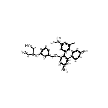 Cc1cc(-c2c(OCc3cccc(OC(CO)CO)n3)nc(N)nc2-c2ccc(F)cc2)cc(C(F)F)n1